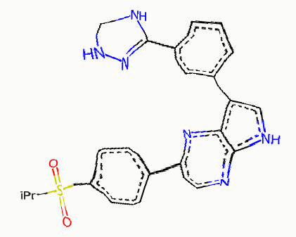 CC(C)S(=O)(=O)c1ccc(-c2cnc3[nH]cc(-c4cccc(C5=NNCN5)c4)c3n2)cc1